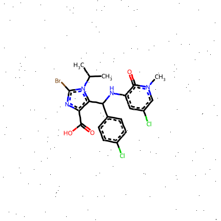 CC(C)n1c(Br)nc(C(=O)O)c1C(Nc1cc(Cl)cn(C)c1=O)c1ccc(Cl)cc1